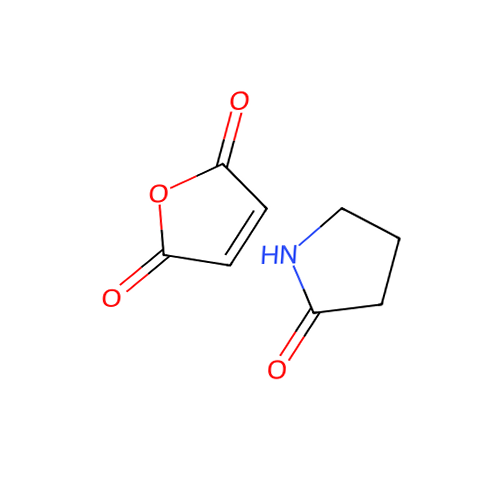 O=C1C=CC(=O)O1.O=C1CCCN1